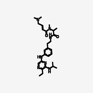 CCc1ncc(Nc2cccc(CCNC(=O)C(C)N(C)C(=O)/C=C/CN(C)C)c2)nc1NC(C)C